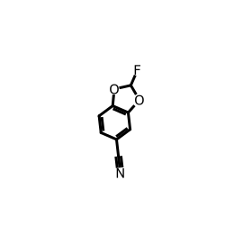 N#Cc1ccc2c(c1)OC(F)O2